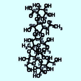 CC[C@](C)(OC1C(O)C(CO)OC(OC(C(O)C(=O)O)C(O)C(O)CO)C1NC(C)=O)C1OC(C(=O)O)C(OC2OC(CO)C(O)C(OC3OC(C(=O)O)C(O)C(O)C3O)C2NC(C)=O)C(O)C1O